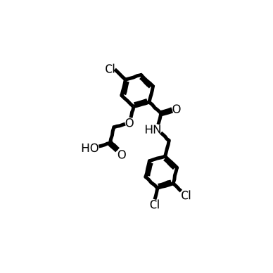 O=C(O)COc1cc(Cl)ccc1C(=O)NCc1ccc(Cl)c(Cl)c1